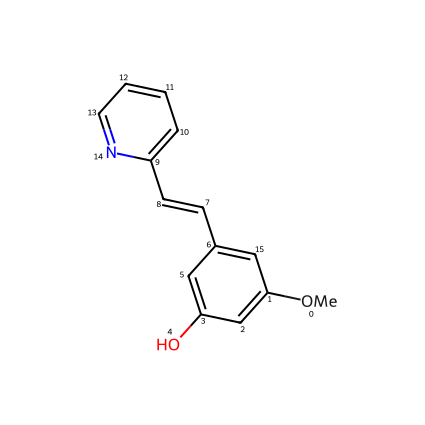 COc1cc(O)cc(/C=C/c2ccccn2)c1